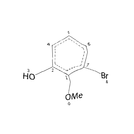 COc1c(O)cccc1Br